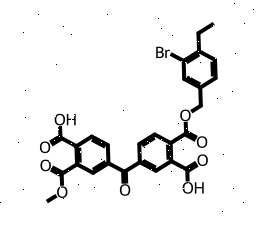 CCc1ccc(COC(=O)c2ccc(C(=O)c3ccc(C(=O)O)c(C(=O)OC)c3)cc2C(=O)O)cc1Br